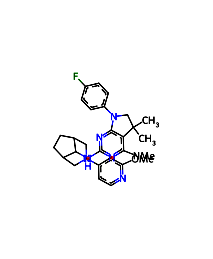 CNc1nc(NC2C3CCC2CN(c2ccnc(OC)c2)C3)nc2c1C(C)(C)CN2c1ccc(F)cc1